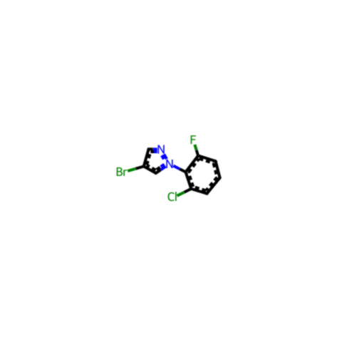 Fc1cccc(Cl)c1-n1cc(Br)cn1